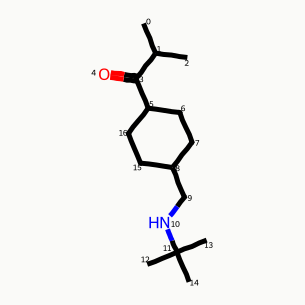 CC(C)C(=O)C1CCC(CNC(C)(C)C)CC1